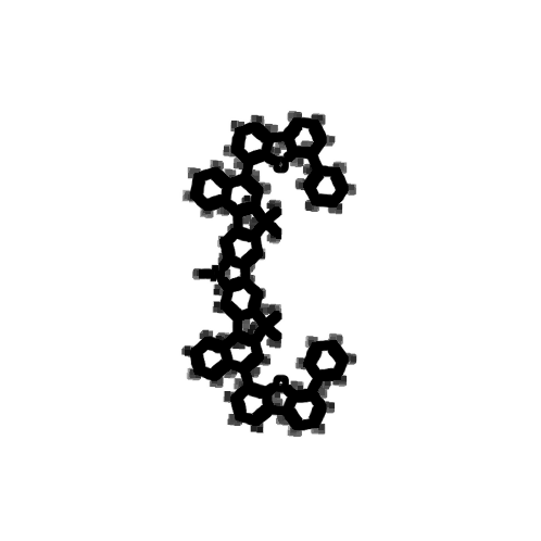 Cn1c2cc3c(cc2c2cc4c(cc21)-c1c(cc(-c2cccc5c2oc2c(-c6ccccc6)cccc25)c2ccccc12)C4(C)C)C(C)(C)c1cc(-c2cccc4c2oc2c(-c5ccccc5)cccc24)c2ccccc2c1-3